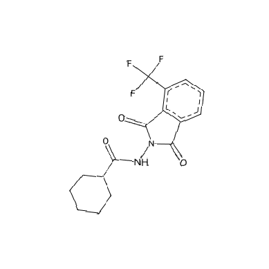 O=C(NN1C(=O)c2cccc(C(F)(F)F)c2C1=O)C1CCCCC1